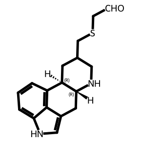 O=CCSCC1CN[C@@H]2Cc3c[nH]c4cccc(c34)[C@H]2C1